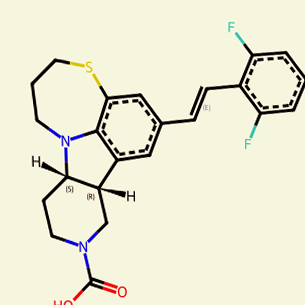 O=C(O)N1CC[C@H]2[C@@H](C1)c1cc(/C=C/c3c(F)cccc3F)cc3c1N2CCCS3